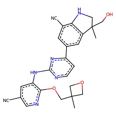 CC1(COc2ncc(C#N)cc2Nc2nccc(-c3cc(C#N)c4c(c3)C(C)(CO)CN4)n2)COC1